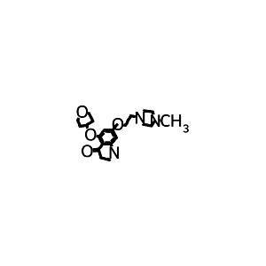 CN1CCN(CCOc2cc3c(c(OC4CCOCC4)c2)C(=O)CC=N3)CC1